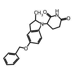 CC1Cc2cc(OCc3ccccc3)ccc2N1C1CCC(=O)NC1=O